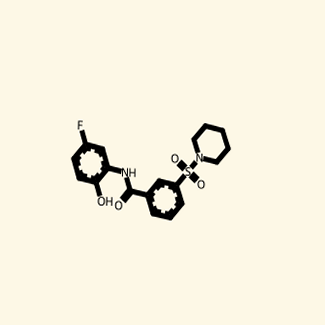 O=C(Nc1cc(F)ccc1O)c1cccc(S(=O)(=O)N2CCCCC2)c1